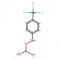 OB(O)ONc1ccc(C(F)(F)F)cc1